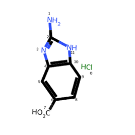 Cl.Nc1nc2cc(C(=O)O)ccc2[nH]1